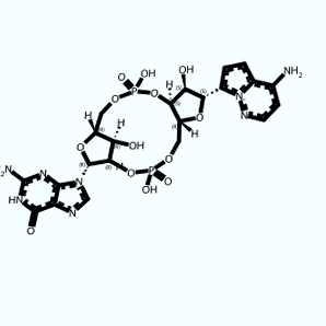 Nc1nc2c(ncn2[C@@H]2O[C@@H]3COP(=O)(O)O[C@H]4[C@@H](O)[C@H](c5ccc6c(N)ccnn56)O[C@@H]4COP(=O)(O)O[C@@H]2[C@@H]3O)c(=O)[nH]1